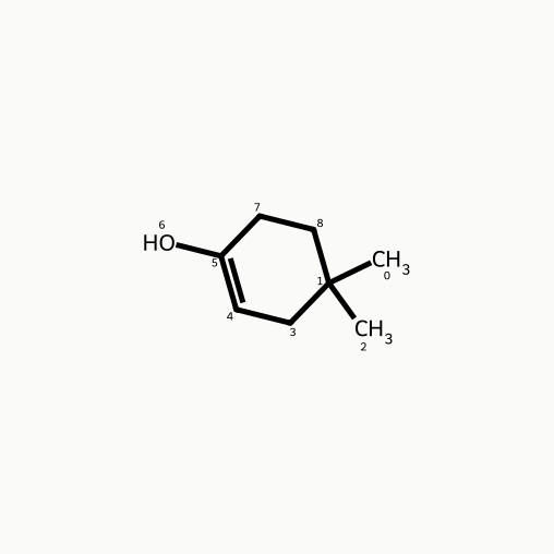 CC1(C)CC=C(O)CC1